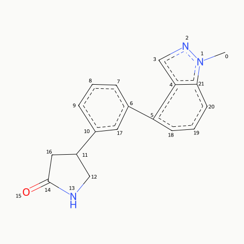 Cn1ncc2c(-c3cccc(C4CNC(=O)C4)c3)cccc21